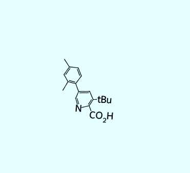 Cc1ccc(-c2cnc(C(=O)O)c(C(C)(C)C)c2)c(C)c1